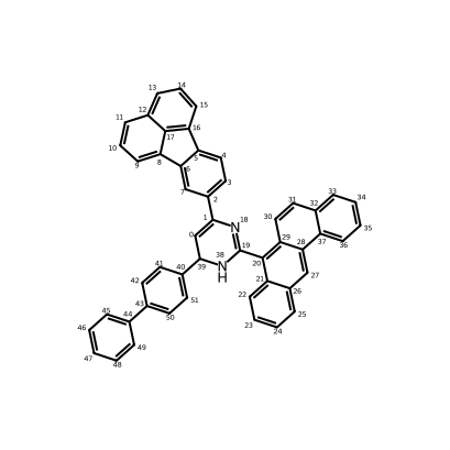 C1=C(c2ccc3c(c2)-c2cccc4cccc-3c24)N=C(c2c3ccccc3cc3c2ccc2ccccc23)NC1c1ccc(-c2ccccc2)cc1